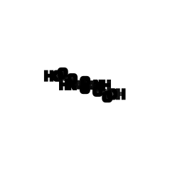 O=C(O)CCCC(=O)Nc1ccc(S(=O)(=O)c2ccc(NC(=O)CCCC(=O)O)cc2)cc1